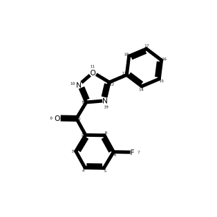 O=C(c1cccc(F)c1)c1noc(-c2ccccc2)n1